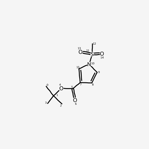 CC(C)(C)OC(=O)c1ccn(S(C)(=O)=O)c1